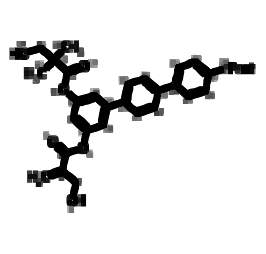 C=C(CO)C(=O)Oc1cc(OC(=O)C(C)(C)CO)cc(-c2ccc(-c3ccc(CCCCC)cc3)cc2)c1